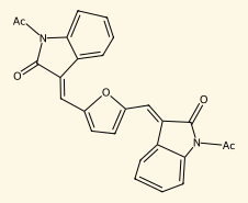 CC(=O)N1C(=O)/C(=C/c2ccc(/C=C3/C(=O)N(C(C)=O)c4ccccc43)o2)c2ccccc21